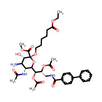 CCOC(=O)CCCCCO[C@@]1(C(=O)OC)OC([C@H](OC(C)=O)[C@@H](CNC(=O)c2ccc(-c3ccccc3)cc2)OC(C)=O)[C@H](NC(C)=O)C(N)[C@@H]1O